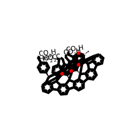 C[C@]12C3=C4C5=C1[C@@]1(c6ccc(CC(=O)O)cc6)c6c7ccc8c6[C@]5(c5ccc(CC(=O)O)cc5)c5c-8ccc6c5[C@]4(c4ccc(CC(=O)O)cc4)c4c-6ccc5c4[C@]3(c3ccc(CC(=O)O)cc3)c3c-5ccc4c3[C@]2(c2ccc(CC(=O)O)cc2)c2c-4ccc-7c21